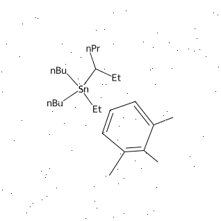 CCC[CH2][Sn]([CH2]C)([CH2]CCC)[CH](CC)CCC.Cc1cccc(C)c1C